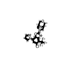 FC(F)(F)c1c(Cl)cc(-n2cccn2)c2oc(N3CC4COCC(C3)N4)nc12